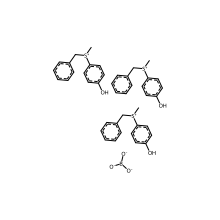 C[S+](Cc1ccccc1)c1ccc(O)cc1.C[S+](Cc1ccccc1)c1ccc(O)cc1.C[S+](Cc1ccccc1)c1ccc(O)cc1.[O-]B([O-])[O-]